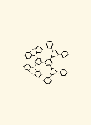 c1ccc(-c2cc(-c3ccccc3)nc(-c3cc(-c4cc(N5c6ccccc6Oc6ccccc65)cc(N5c6ccccc6Sc6ccccc65)c4)cc(-c4nc(-c5ccccc5)cc(-c5ccccc5)n4)c3)n2)cc1